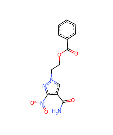 NC(=O)c1cn(CCOC(=O)c2ccccc2)nc1[N+](=O)[O-]